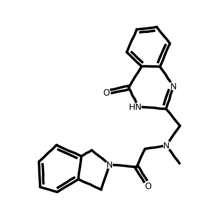 CN(CC(=O)N1Cc2ccccc2C1)Cc1nc2ccccc2c(=O)[nH]1